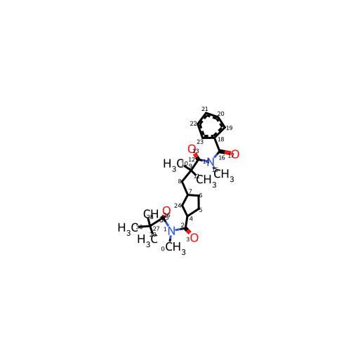 CN(C(=O)C1CCC(CC(C)(C)C(=O)N(C)C(=O)c2ccccc2)C1)C(=O)C(C)(C)C